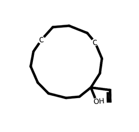 C=CC1(O)CCCCCCCCCCCCC1